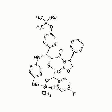 CC(C)(C)[Si](C)(C)Oc1ccc([C@@H](Nc2ccc(I)cc2)[C@@H](SC[C@@H](O[Si](C)(C)C(C)(C)C)c2ccc(F)cc2)C(=O)N2C(=O)OC[C@@H]2c2ccccc2)cc1